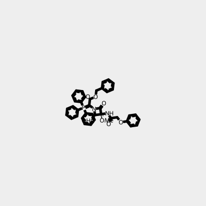 CO[C@@]1(NC(=O)COc2ccccc2)C(=O)N(C(C(=O)OCc2ccccc2)=P(c2ccccc2)(c2ccccc2)c2ccccc2)[C@@H]1C=O